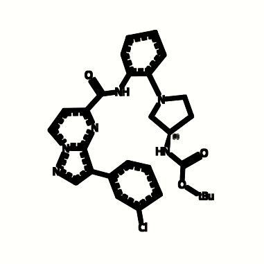 CC(C)(C)OC(=O)N[C@@H]1CCN(c2ccccc2NC(=O)c2ccn3ncc(-c4cccc(Cl)c4)c3n2)C1